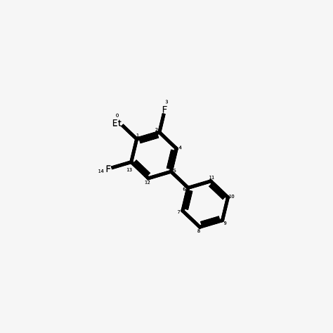 [CH2]Cc1c(F)cc(-c2ccccc2)cc1F